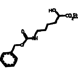 CCOC(=O)C(O)CCCCNC(=O)OCc1ccccc1